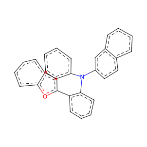 c1ccc(N(c2ccc3ccccc3c2)c2ccccc2-c2cc3ccccc3o2)cc1